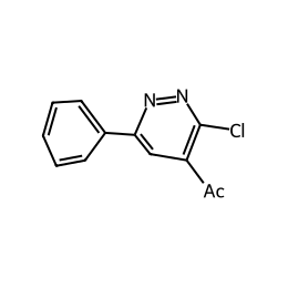 CC(=O)c1cc(-c2ccccc2)nnc1Cl